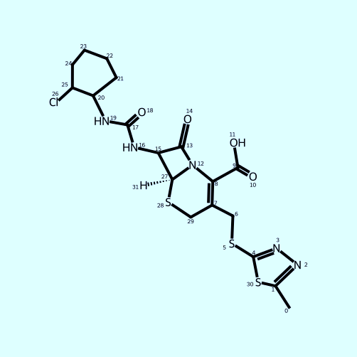 Cc1nnc(SCC2=C(C(=O)O)N3C(=O)C(NC(=O)NC4CCCCC4Cl)[C@@H]3SC2)s1